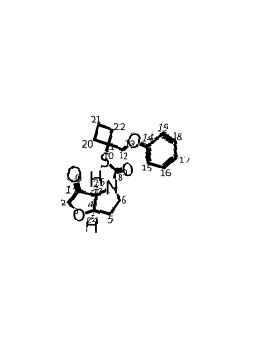 O=C1CO[C@@H]2CCN(C(=O)SC3(COc4ccccc4)CCC3)[C@H]12